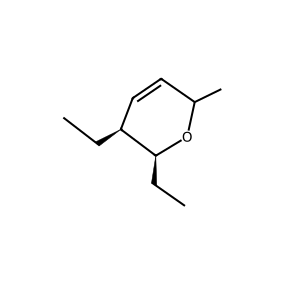 CC[C@H]1C=CC(C)O[C@H]1CC